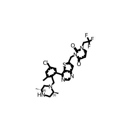 Cc1cc(Cl)cc(-c2ncnc3cc(Cn4c(=O)ccn(CC(F)(F)F)c4=O)sc23)c1CN1C[C@@H](C)NC[C@@H]1C